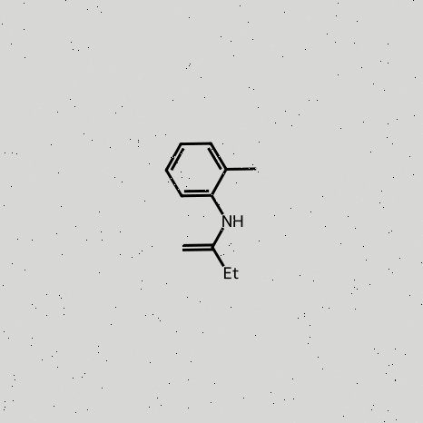 C=C(CC)Nc1ccccc1C